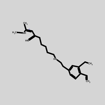 C=Cc1ccc(CCNCCCCCC(=N)/C=C(/C)NC)cc1CC